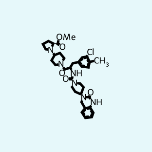 COC(=O)[C@H]1CCCN1C1CCN(C(=O)C(Cc2ccc(C)c(Cl)c2)NC(=O)N2CCC(N3Cc4ccccc4NC3=O)CC2)CC1